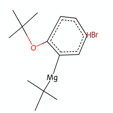 Br.CC(C)(C)Oc1cccc[c]1[Mg][C](C)(C)C